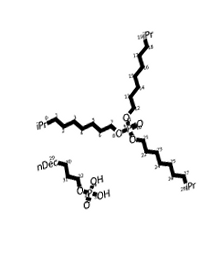 CC(C)CCCCCCCOP(=O)(OCCCCCCCC(C)C)OCCCCCCCC(C)C.CCCCCCCCCCCCCOP(=O)(O)O